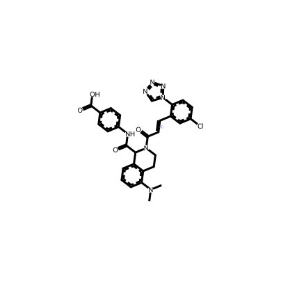 CN(C)c1cccc2c1CCN(C(=O)/C=C/c1cc(Cl)ccc1-n1cnnn1)C2C(=O)Nc1ccc(C(=O)O)cc1